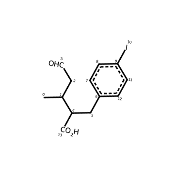 CC(CC=O)C(Cc1ccc(I)cc1)C(=O)O